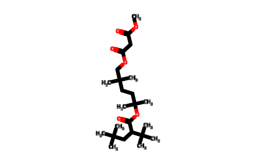 COC(=O)CC(=O)OCC(C)(C)CCC(C)(C)OC(=O)C(CC(C)(C)C)C(C)(C)C